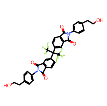 O=C1c2ccc(C(c3ccc4c(c3)C(=O)N(c3ccc(CCO)cc3)C4=O)(C(F)(F)F)C(F)(F)F)cc2C(=O)N1c1ccc(CCO)cc1